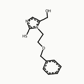 OCc1cnc(S)n1CCOCc1ccccc1